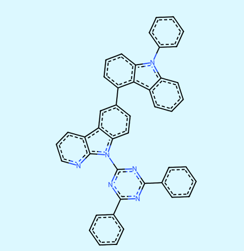 c1ccc(-c2nc(-c3ccccc3)nc(-n3c4ccc(-c5cccc6c5c5ccccc5n6-c5ccccc5)cc4c4cccnc43)n2)cc1